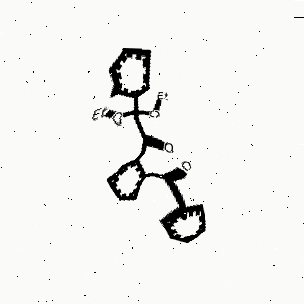 CCOC(OCC)(C(=O)c1ccccc1C(=O)c1ccccc1)c1ccccc1